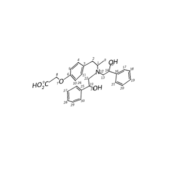 CC(Cc1ccc(OCC(=O)O)cc1)N(CC(O)c1ccccc1)CC(O)c1ccccc1